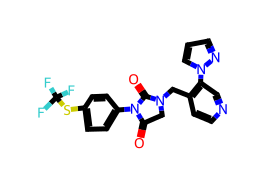 O=C1CN(Cc2ccncc2-n2cccn2)C(=O)N1c1ccc(SC(F)(F)F)cc1